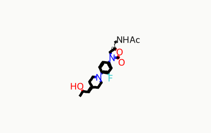 CC(=O)NC[C@H]1CN(c2ccc(N3CCC(=CC(C)O)CC3)c(F)c2)C(=O)O1